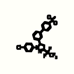 CS(=O)(=O)c1ccc(-c2cccc(C3CC(C(F)(F)C(F)(F)F)=NN3c3ccc(Cl)cc3)c2)cc1